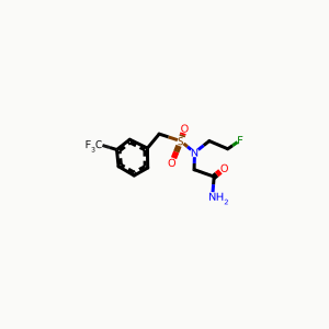 NC(=O)CN(CCF)S(=O)(=O)Cc1cccc(C(F)(F)F)c1